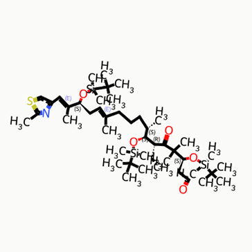 CC[C@@H](C(=O)C(C)(C)[C@H](CC=O)O[Si](C)(C)C(C)(C)C)[C@@H](O[Si](C)(C)C(C)(C)C)[C@@H](C)CCC/C(C)=C/C[C@H](O[Si](C)(C)C(C)(C)C)/C(C)=C/c1csc(C)n1